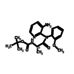 COc1ccccc1N(C(=O)[C@H](C)NC(=O)OC(C)(C)C)c1ncccc1N